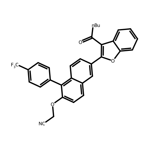 CCCCC(=O)c1c(-c2ccc3c(-c4ccc(C(F)(F)F)cc4)c(OCC#N)ccc3c2)oc2ccccc12